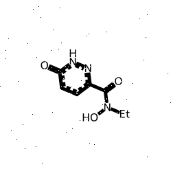 CCN(O)C(=O)c1ccc(=O)[nH]n1